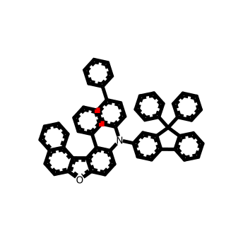 c1ccc(-c2ccc(N(c3ccc4c(c3)C(c3ccccc3)(c3ccccc3)c3ccccc3-4)c3ccc4oc5ccc6ccccc6c5c4c3-c3ccccc3)cc2)cc1